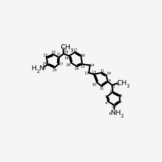 CC(c1ccc(N)cc1)c1ccc(CCc2ccc(C(C)c3ccc(N)cc3)cc2)cc1